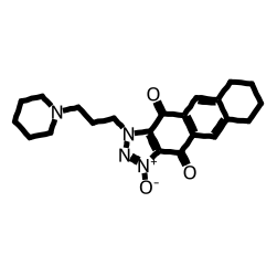 O=C1c2cc3c(cc2C(=O)c2c1n(CCCN1CCCCC1)n[n+]2[O-])CCCC3